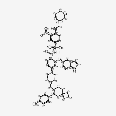 O=C(NS(=O)(=O)c1ccc(NC[C@H]2COCCO2)c([N+](=O)[O-])c1)c1cnc(N2CCN(CC3=C(c4ccc(Cl)cc4)CC4(CCC4)CC3)CC2)cc1Oc1cnc2[nH]ccc2c1